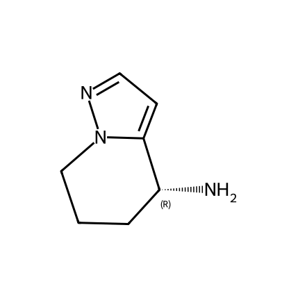 N[C@@H]1CCCn2nccc21